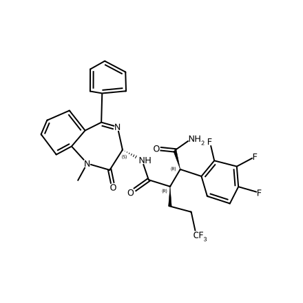 CN1C(=O)[C@@H](NC(=O)[C@H](CCC(F)(F)F)[C@@H](C(N)=O)c2ccc(F)c(F)c2F)N=C(c2ccccc2)c2ccccc21